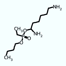 CCCCOP(=O)(CC)OC(N)CCCCCN